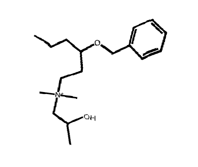 CCCC(CC[N+](C)(C)CC(C)O)OCc1ccccc1